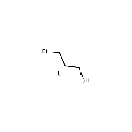 CCCCCO.[Li]